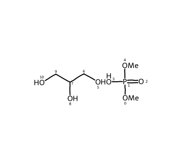 COP(=O)(O)OC.OCC(O)CO